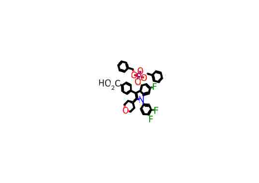 O=C(O)c1ccc(-c2c(C3CCOCC3)n(-c3ccc(F)c(F)c3)c3cc(F)cc(OP(=O)(OCc4ccccc4)OCc4ccccc4)c23)cc1